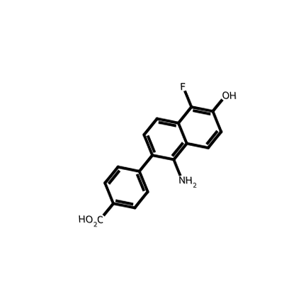 Nc1c(-c2ccc(C(=O)O)cc2)ccc2c(F)c(O)ccc12